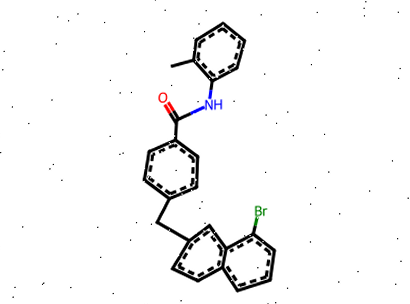 Cc1ccccc1NC(=O)c1ccc(Cc2ccc3cccc(Br)c3c2)cc1